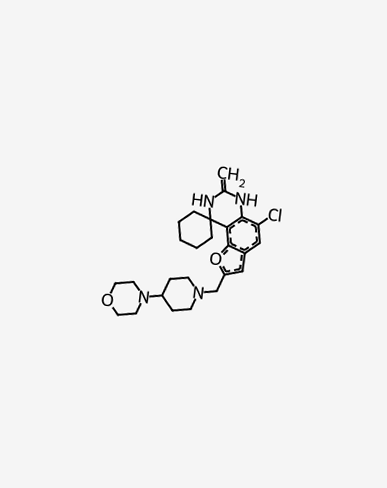 C=C1Nc2c(Cl)cc3cc(CN4CCC(N5CCOCC5)CC4)oc3c2C2(CCCCC2)N1